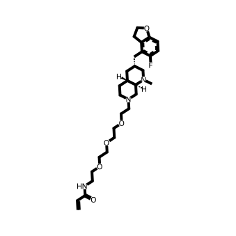 C=CC(=O)NCCOCCOCCOCCN1CC[C@@H]2C[C@H](Cc3c(F)ccc4c3CCO4)CN(C)[C@H]2C1